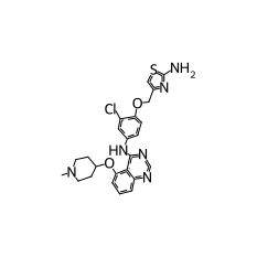 CN1CCC(Oc2cccc3ncnc(Nc4ccc(OCc5csc(N)n5)c(Cl)c4)c23)CC1